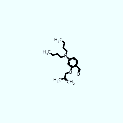 C=C(C)COc1cc(N(CCCC)CCCC)ccc1C=O